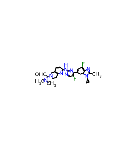 Cc1nc2c(F)cc(-c3nc(Nc4ccc5c(n4)CCN(C(C=O)N(C)C)C5)ncc3F)cc2n1C1CC1